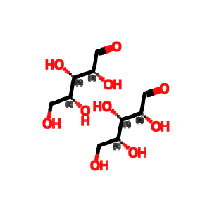 O=C[C@H](O)[C@@H](O)[C@H](O)CO.O=C[C@H](O)[C@@H](O)[C@H](O)CO